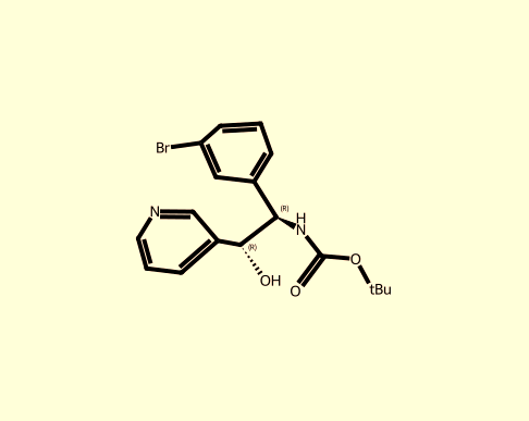 CC(C)(C)OC(=O)N[C@H](c1cccc(Br)c1)[C@H](O)c1cccnc1